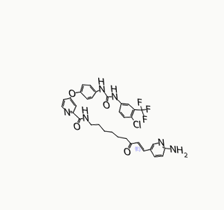 Nc1ccc(/C=C/C(=O)CCCCCCNC(=O)c2cc(Oc3ccc(NC(=O)Nc4ccc(Cl)c(C(F)(F)F)c4)cc3)ccn2)cn1